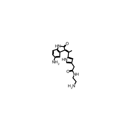 CC(=C1C(=O)Nc2ccc(N)cc21)c1cc(CC(=O)NCCN)c[nH]1